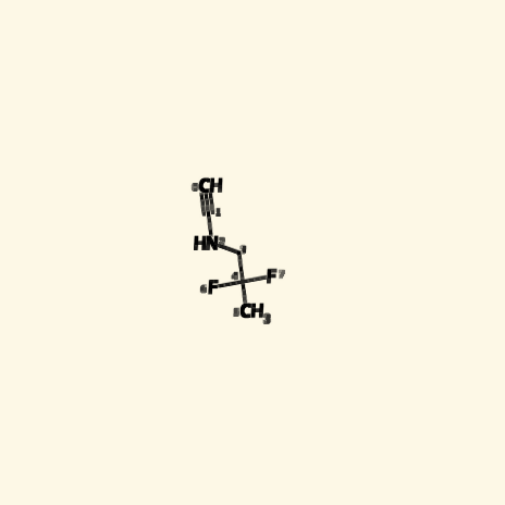 C#CNCC(C)(F)F